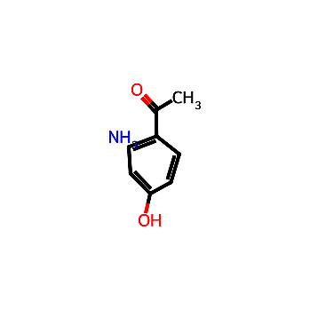 CC(=O)c1ccc(O)cc1.N